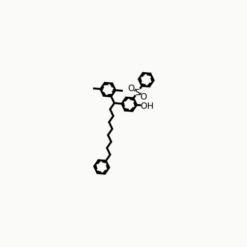 Cc1ccc(C)c(C(CCCCCCCCc2ccccc2)c2ccc(O)c(S(=O)(=O)c3ccccc3)c2)c1